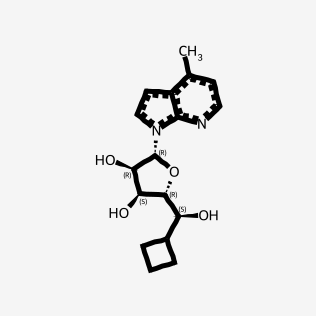 Cc1ccnc2c1ccn2[C@@H]1O[C@H]([C@@H](O)C2CCC2)[C@@H](O)[C@H]1O